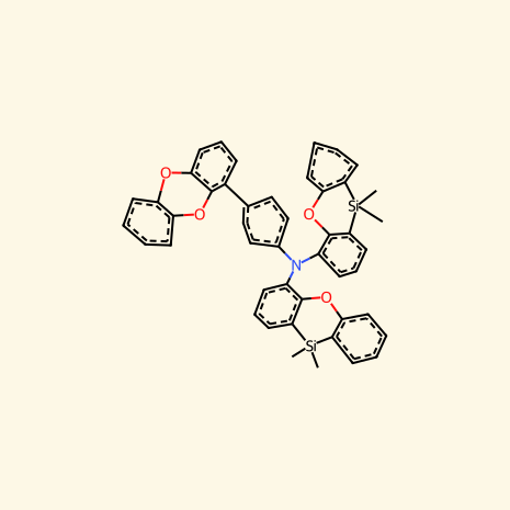 C[Si]1(C)c2ccccc2Oc2c(N(c3ccc(-c4cccc5c4Oc4ccccc4O5)cc3)c3cccc4c3Oc3ccccc3[Si]4(C)C)cccc21